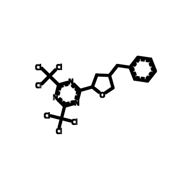 ClC(Cl)(Cl)c1nc(C2CC(Cc3ccccc3)CO2)nc(C(Cl)(Cl)Cl)n1